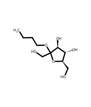 CCCCOC1(CO)O[C@H](CO)[C@@H](O)[C@@H]1O